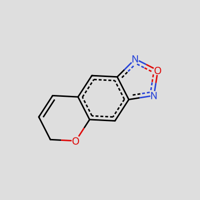 C1=Cc2cc3nonc3cc2OC1